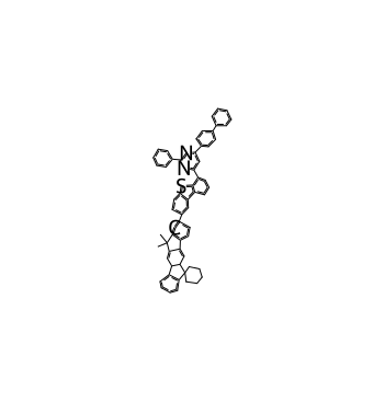 CC1(C)C2=CC3c4ccccc4C4(CCCCC4)C3C=C2c2ccc(-c3ccc4sc5c(-c6cc(-c7ccc(-c8ccccc8)cc7)nc(-c7ccccc7)n6)cccc5c4c3)cc21